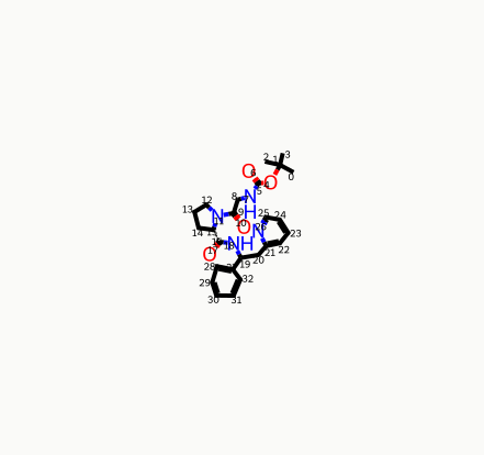 CC(C)(C)OC(=O)NCC(=O)N1CCC[C@H]1C(=O)NC(Cc1ccccn1)c1ccccc1